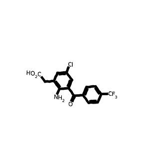 Nc1c(CC(=O)O)cc(Cl)cc1C(=O)c1ccc(C(F)(F)F)cc1